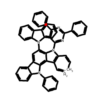 C=Cc1c(/C=C\C)n(-c2nc(-c3ccccc3)nc(-c3ccccc3)n2)c2c(-n3c4ccccc4c4ccccc43)cc3c4ccccc4n(-c4ccccc4)c3c12